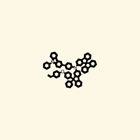 C=Cc1ccc(Oc2ccc(C3(c4ccccc4)c4ccccc4-c4ccc(N(c5ccc(-c6ccc7c(c6)c6ccccc6n7-c6ccccc6)cc5)c5ccc6c(c5)C5(c7ccccc7-c7ccccc75)c5ccccc5-6)cc43)cc2)cc1